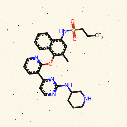 Cc1cc(NS(=O)(=O)CCC(F)(F)F)c2ccccc2c1Oc1ncccc1-c1ccnc(NC2CCCNC2)n1